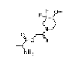 CO[C@H]1CCN(C(=O)COC(=O)[C@H](C)N)CC1(F)F